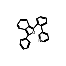 c1ccc(-c2oc(-c3ccccc3-c3cccnc3)c3ccccc23)cc1